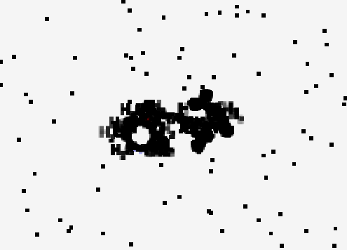 CO[C@@H]1/C=C/C=C(\C)Cc2cc(C)c(Cl)c(c2)N(C)C(=O)C[C@H](OC(=O)[C@H](C)N(C)C(=O)CCOCCOCCNC(=O)CN(CCNC(=O)CCn2c(CN(C)N(C)C(=O)OCC3c4ccccc4-c4ccccc43)cc3ccccc32)C(=O)OCC2c3ccccc3-c3ccccc32)[C@]2(C)OC2[C@H](C)[C@@H]2C[C@@]1(O)NC(=O)O2